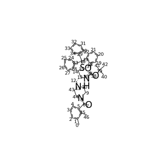 Cc1cccc(C(=O)N2CCN(C[C@H](CSC(c3ccccc3)(c3ccccc3)c3ccccc3)NC(=O)OC(C)(C)C)CC2)c1C